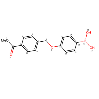 COC(=O)c1ccc(COc2ccc(B(O)O)cc2)cc1